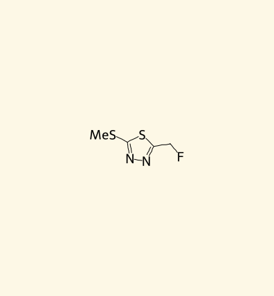 CSc1nnc(CF)s1